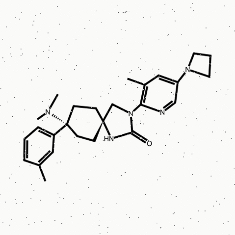 Cc1cccc([C@]2(N(C)C)CC[C@@]3(CC2)CN(c2ncc(N4CCC4)cc2C)C(=O)N3)c1